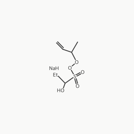 C=CC(C)OOS(=O)(=O)C(O)CC.[NaH]